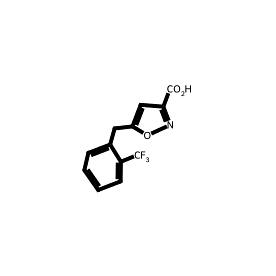 O=C(O)c1cc(Cc2ccccc2C(F)(F)F)on1